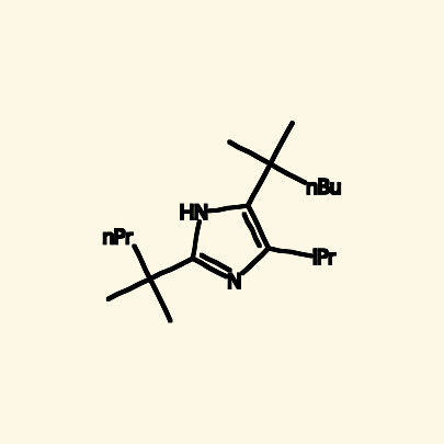 CCCCC(C)(C)c1[nH]c(C(C)(C)CCC)nc1C(C)C